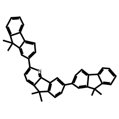 CC1(C)c2ccccc2-c2ccc(-c3ccc4c(c3)-c3nc(-c5ccc6c(c5)C(C)(C)c5ccccc5-6)ccc3C4(C)C)cc21